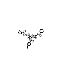 C=Cc1ccc(C(=O)OC(CS(=O)(=O)CCOC(=O)C2CCCCC2)CS(=O)(=O)CCOC(=O)C2CCCCC2)cc1